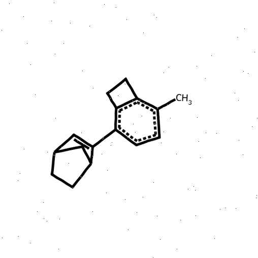 Cc1ccc(C2=CC3CCC2C3)c2c1CC2